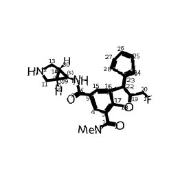 CNC(=O)c1cc(C(=O)N[C@H]2[C@@H]3CNC[C@@H]32)cc2c1OC(CF)C2c1ccccc1